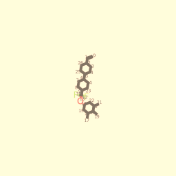 C=CC1CCC(C2CCC(C(F)(F)OC3CC(C)C(C)C(C)C3)CC2)CC1